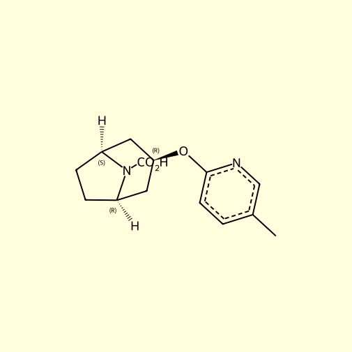 Cc1ccc(O[C@H]2C[C@H]3CC[C@@H](C2)N3C(=O)O)nc1